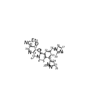 CCOc1cc(C(C)N2CCc3c(cc(Cn4ccnc4C)cc3-c3cc(C)nn3C)C2=O)ncc1C#N